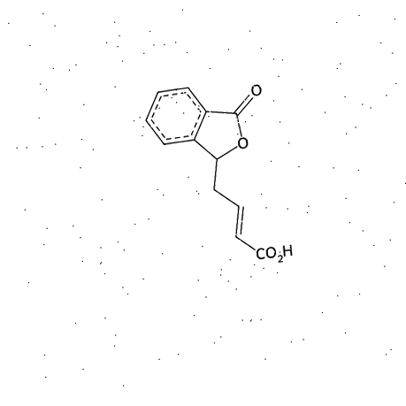 O=C(O)C=CCC1OC(=O)c2ccccc21